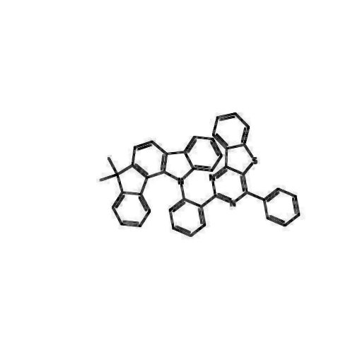 CC1(C)c2ccccc2-c2c1ccc1c3ccccc3n(-c3ccccc3-c3nc(-c4ccccc4)c4sc5ccccc5c4n3)c21